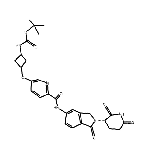 CC(C)(C)OC(=O)NC1CC(Oc2ccc(C(=O)Nc3ccc4c(c3)CN([C@H]3CCC(=O)NC3=O)C4=O)nc2)C1